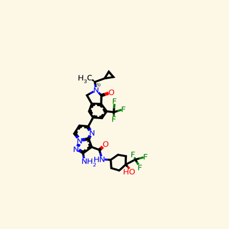 C[C@@H](C1CC1)N1Cc2cc(-c3ccn4nc(N)c(C(=O)NC5CCC(O)(C(F)(F)F)CC5)c4n3)cc(C(F)(F)F)c2C1=O